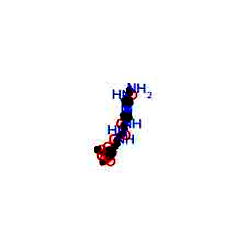 CCOC(=O)[C@@H]1C[C@@H](CCCC(=O)NCC(=O)NCC(=O)Nc2ccc(/N=N/c3ccc(NC(=O)CN)cc3)cc2)C(=O)N1C(=O)OC(C)(C)C